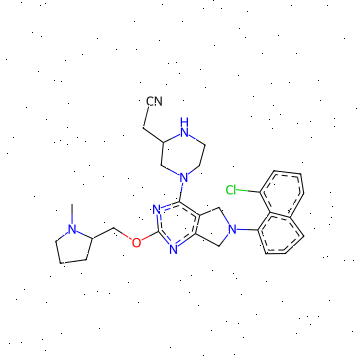 CN1CCCC1COc1nc2c(c(N3CCNC(CC#N)C3)n1)CN(c1cccc3cccc(Cl)c13)C2